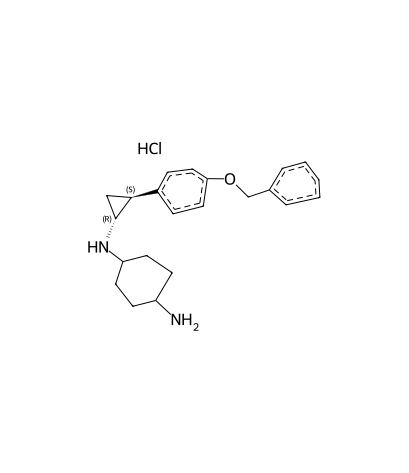 Cl.NC1CCC(N[C@@H]2C[C@H]2c2ccc(OCc3ccccc3)cc2)CC1